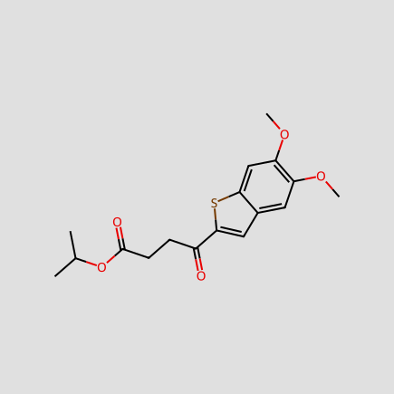 COc1cc2cc(C(=O)CCC(=O)OC(C)C)sc2cc1OC